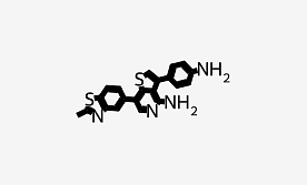 Cc1nc2cc(-c3cnc(N)c4c(-c5ccc(N)cc5)csc34)ccc2s1